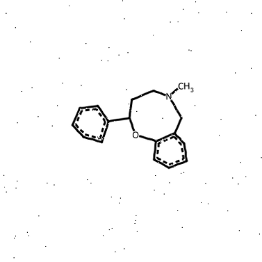 CN1CCC(c2ccccc2)Oc2ccccc2C1